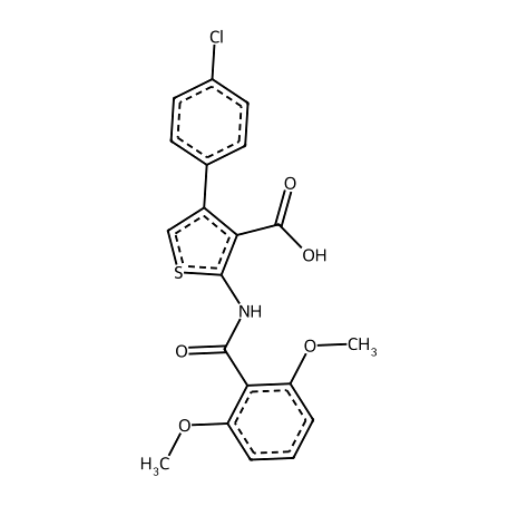 COc1cccc(OC)c1C(=O)Nc1scc(-c2ccc(Cl)cc2)c1C(=O)O